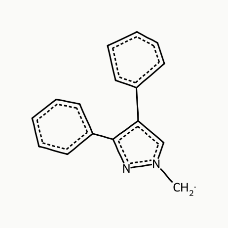 [CH2]n1cc(-c2ccccc2)c(-c2ccccc2)n1